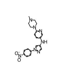 CN1CCN(c2ccc(Nc3cnn(-c4ccc([N+](=O)[O-])cc4)c3)cn2)CC1